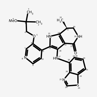 COC(C)(C)COc1cnccc1-c1[nH]c2c(c1Nc1cccc3scnc13)C(=O)NC[C@@H]2C